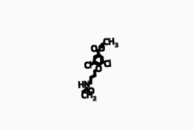 C=CC(=O)NCCCCOc1c(Cl)cc(C(=O)OCC)cc1Cl